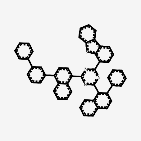 c1ccc(-c2cccc(-c3ccc(-c4nc(-c5c(-c6ccccc6)ccc6ccccc56)nc(-c5cccc6c5sc5ccccc56)n4)c4ccccc34)c2)cc1